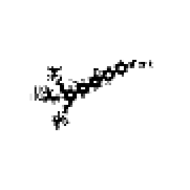 C=C(C)C(=O)OCCCc1cc(-c2ccc(-c3ccc(C4CCC(C5CCC(CCCCC)CC5)CC4)c(CC)c3)cc2CC)cc(CCCOC(=O)C(=C)C)c1OCCC(CO)CO